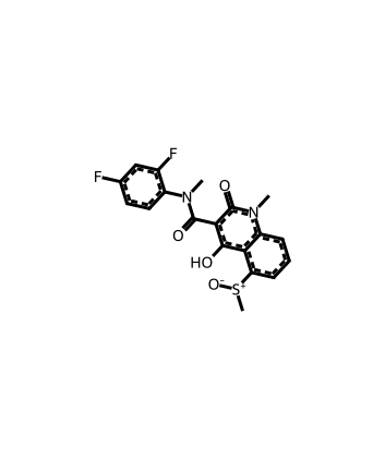 CN(C(=O)c1c(O)c2c([S+](C)[O-])cccc2n(C)c1=O)c1ccc(F)cc1F